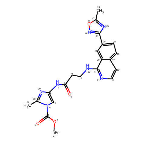 CCCOC(=O)n1cc(NC(=O)CCNc2nccc3ccc(-c4noc(C)n4)cc23)nc1C